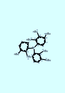 CCCCc1cccc(P(c2cccc(CCCC)c2CCCC)c2ccc(CCCC)c(CCCC)c2CCCC)c1CCCC